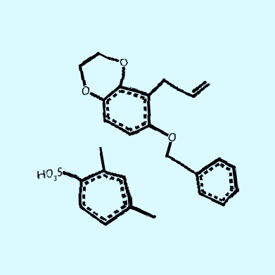 C=CCc1c(OCc2ccccc2)ccc2c1OCCO2.Cc1ccc(S(=O)(=O)O)c(C)c1